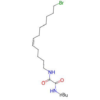 CCCCNC(=O)C(=O)NCCCC/C=C\CCCCCCBr